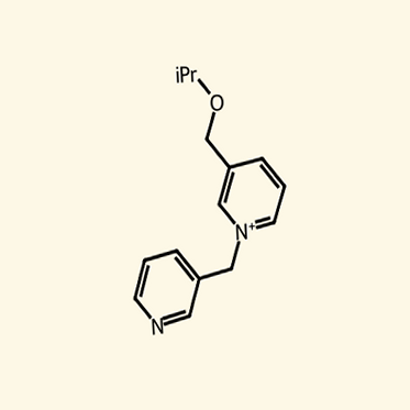 CC(C)OCc1ccc[n+](Cc2cccnc2)c1